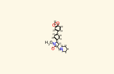 CN1C(=O)[C@H](CN2CCCCC2)C[C@@H]1c1ccc(-c2ccc3c(c2)OCO3)cc1